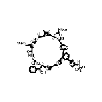 CNC(=O)C[C@@H]1NC(=O)c2csc(n2)-c2ccc(-c3nc(NS(C)(=O)=O)cs3)nc2-c2csc(n2)-c2csc(n2)[C@H]([C@@H](O)c2ccccc2)NC(=O)CNC(=O)c2nc(sc2COC)NC(=O)c2nc1sc2C